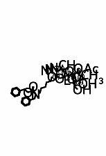 CCC1O[C@H](OCCCCCN(Cc2ccccc2)C(=O)OCc2ccccc2)C(N=[N+]=[N-])[C@@H](C)[C@@H]1O[C@@H]1OC(CO)[C@@H](O)[C@H](C)C1OC(C)=O